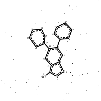 Oc1nsc2cc(-c3ccccc3)c(-c3ccccc3)cc12